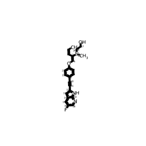 C/C=C\C(=C/Oc1ccc(C#Cc2cc3cc(F)cnc3[nH]2)cc1)N(C)CCO